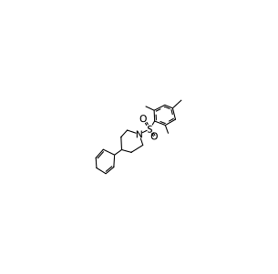 Cc1cc(C)c(S(=O)(=O)N2CCC(C3C=CCC=C3)CC2)c(C)c1